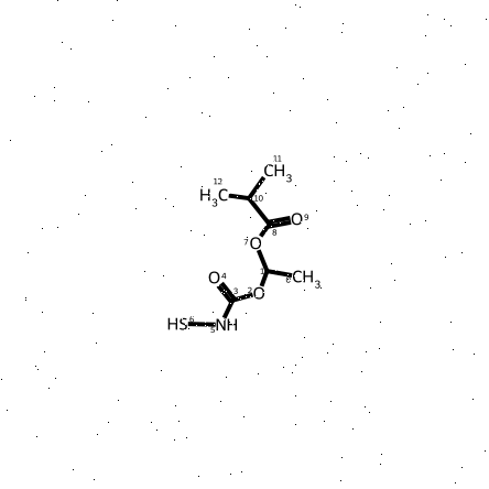 CC(OC(=O)NS)OC(=O)C(C)C